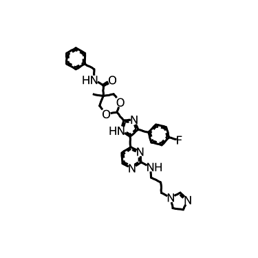 CC1(C(=O)NCc2ccccc2)COC(c2nc(-c3ccc(F)cc3)c(-c3ccnc(NCCCN4C=NCC4)n3)[nH]2)OC1